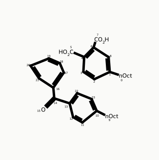 CCCCCCCCc1ccc(C(=O)O)c(C(=O)O)c1.CCCCCCCCc1ccc(C(=O)c2ccccc2)cc1